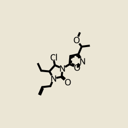 C=CCN1C(=O)N(c2cc(C(C)OC)no2)C(Cl)C1CC